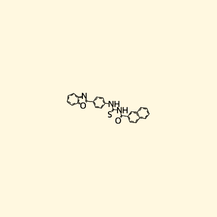 O=C(NC(=S)Nc1ccc(-c2nc3ccccc3o2)cc1)c1ccc2ccccc2c1